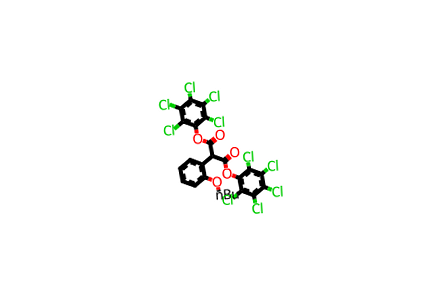 CCCCOc1ccccc1C(C(=O)Oc1c(Cl)c(Cl)c(Cl)c(Cl)c1Cl)C(=O)Oc1c(Cl)c(Cl)c(Cl)c(Cl)c1Cl